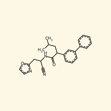 CC(C)CC(C(=O)NC(C#N)Cc1ncco1)c1cccc(-c2ccccc2)c1